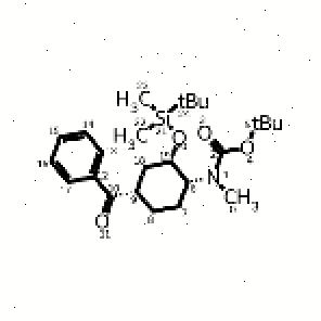 CN(C(=O)OC(C)(C)C)[C@@H]1CC[C@H](C(=O)c2ccccc2)C[C@H]1O[Si](C)(C)C(C)(C)C